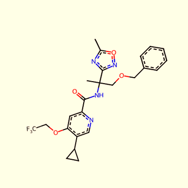 Cc1nc(C(C)(COCc2ccccc2)NC(=O)c2cc(OCC(F)(F)F)c(C3CC3)cn2)no1